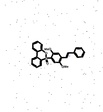 COc1cc(P2(=O)Oc3ccccc3-c3ccccc32)c(OC)cc1/C=C/c1ccccc1